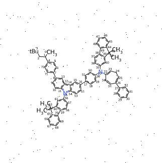 CC(CC(C)(C)C)c1ccc(-c2ccc3c(c2)c2cc(-c4ccc(N(C5=CCC=C(c6ccccc6)C=C5)c5ccc6c(c5)C(C)(C)c5ccccc5-6)cc4)ccc2n3-c2ccc3c(c2)C(C)(C)c2ccccc2-3)cc1